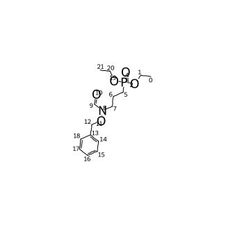 CCOP(=O)(CCCN(C=O)OCc1ccccc1)OCC